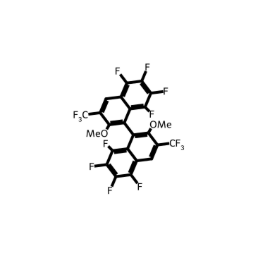 COc1c(C(F)(F)F)cc2c(F)c(F)c(F)c(F)c2c1-c1c(OC)c(C(F)(F)F)cc2c(F)c(F)c(F)c(F)c12